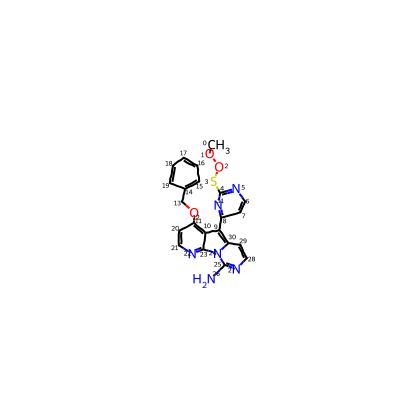 COOSc1nccc(-c2c3c(OCc4ccccc4)ccnc3n3c(N)nccc23)n1